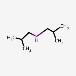 CC(C)CPCC(C)C